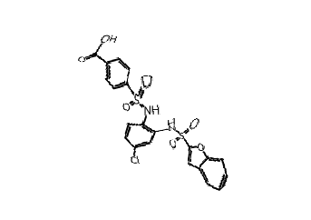 O=C(O)c1ccc(S(=O)(=O)Nc2ccc(Cl)cc2NS(=O)(=O)c2cc3ccccc3o2)cc1